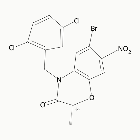 C[C@H]1Oc2cc([N+](=O)[O-])c(Br)cc2N(Cc2cc(Cl)ccc2Cl)C1=O